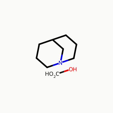 C1CC2CCCN(C1)C2.O=C(O)O